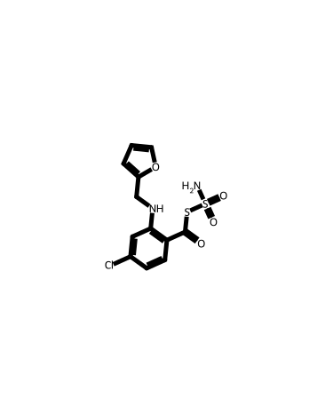 NS(=O)(=O)SC(=O)c1ccc(Cl)cc1NCc1ccco1